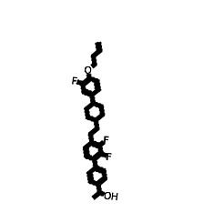 C=CCCOc1ccc(C2CCC(CCc3ccc(-c4ccc(C(C)O)cc4)c(F)c3F)CC2)cc1F